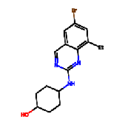 CCc1cc(Br)cc2cnc(NC3CCC(O)CC3)nc12